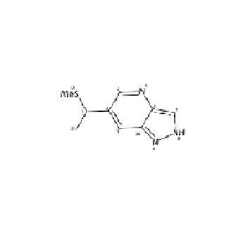 CSC(C)c1cnc2c[nH]nc2c1